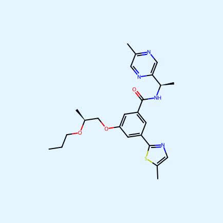 CCCO[C@@H](C)COc1cc(C(=O)N[C@H](C)c2cnc(C)cn2)cc(-c2ncc(C)s2)c1